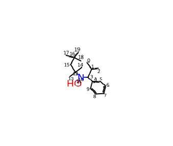 CC(C)C(c1ccccc1)N(O)C(C)(C)CC(C)(C)C